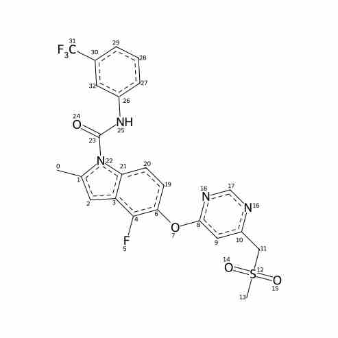 Cc1cc2c(F)c(Oc3cc(CS(C)(=O)=O)ncn3)ccc2n1C(=O)Nc1cccc(C(F)(F)F)c1